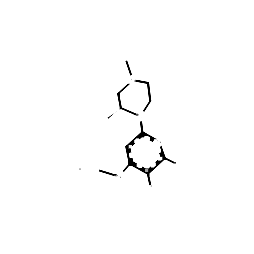 C[C@H]1CN(C)C[C@H](C)N1c1cc(NC(=O)O)c(Cl)c(F)n1